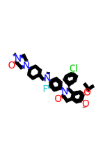 COc1cc2c(cc1OC(C)C)[C@H](c1ccc(Cl)cc1)N(c1ccc(N(C)CC3CCC(N4CCN(C)C(=O)C4)CC3)c(F)c1)C(=O)C2